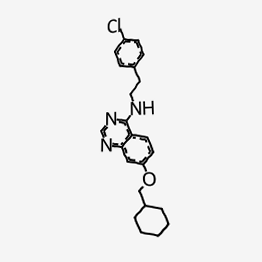 Clc1ccc(CCNc2ncnc3cc(OCC4CCCCC4)ccc23)cc1